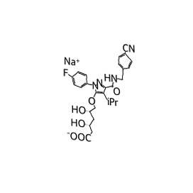 CC(C)c1c(C(=O)NCc2ccc(C#N)cc2)nn(-c2ccc(F)cc2)c1OC[C@@H](O)C[C@@H](O)CC(=O)[O-].[Na+]